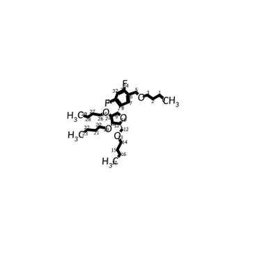 CCCCOCc1cc([C@@H]2O[C@H](COCCCC)[C@H](OCCCC)C2OCCCC)c(F)cc1F